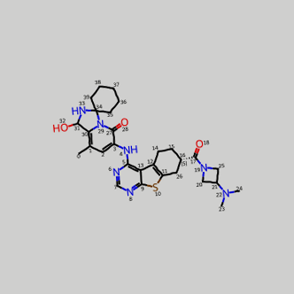 Cc1cc(Nc2ncnc3sc4c(c23)CC[C@H](C(=O)N2CC(N(C)C)C2)C4)c(=O)n2c1C(O)NC21CCCCC1